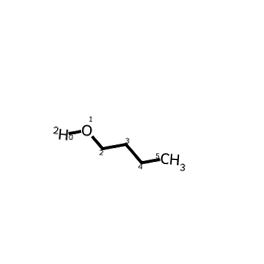 [2H]OCCCC